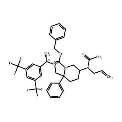 C=CCN(C(C)=O)C1CCC(CO[C@H](C)c2cc(C(F)(F)F)cc(C(F)(F)F)c2)(c2ccccc2)N(C(=O)OCc2ccccc2)C1